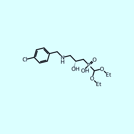 CCOC(OCC)P(=O)(O)C[C@H](O)CNCc1ccc(Cl)cc1